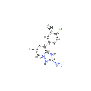 Cc1cc(-c2ccc(F)c(C#N)c2)c2nc(N)nn2c1